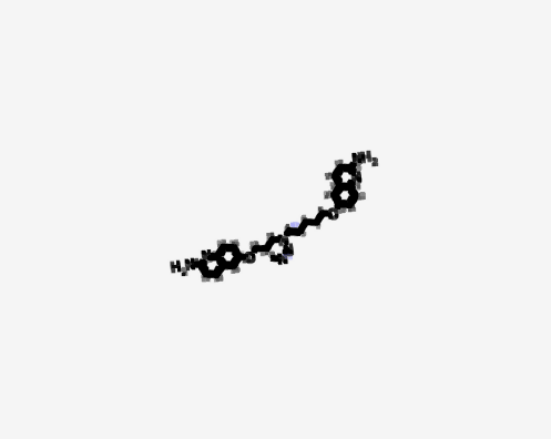 C/N=N\N(/C=C/CCCOc1ccc2nc(N)ccc2c1)CCCOc1ccc2nc(N)ccc2c1